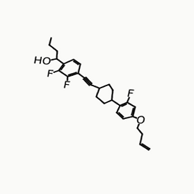 C=CCCOc1ccc(C2CCC(C#Cc3ccc(C(O)CCC)c(F)c3F)CC2)c(F)c1